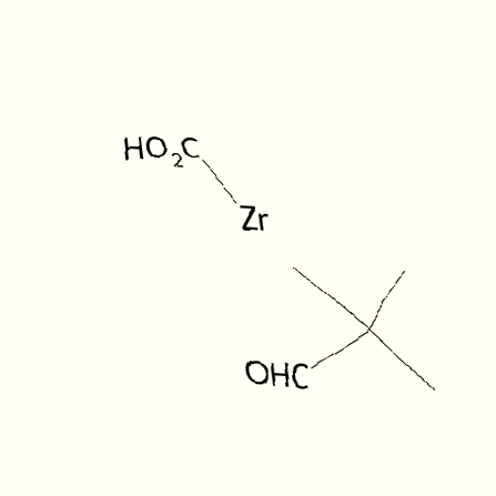 CC(C)(C)C=O.O=[C](O)[Zr]